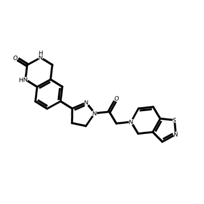 O=C1NCc2cc(C3=NN(C(=O)CN4C=Cc5sncc5C4)CC3)ccc2N1